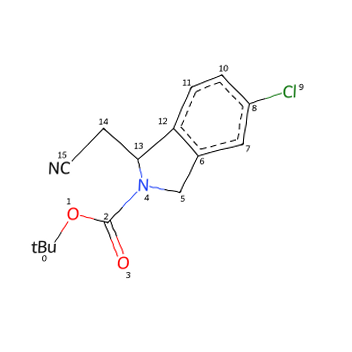 CC(C)(C)OC(=O)N1Cc2cc(Cl)ccc2C1CC#N